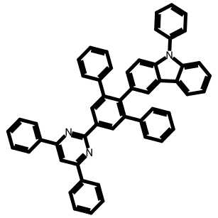 c1ccc(-c2cc(-c3ccccc3)nc(-c3cc(-c4ccccc4)c(-c4ccc5c(c4)c4ccccc4n5-c4ccccc4)c(-c4ccccc4)c3)n2)cc1